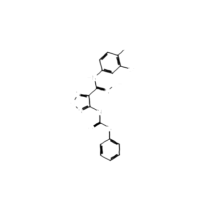 O=C(Nc1ccccc1)Nc1nonc1/C(=N/O)Nc1ccc(F)c(Br)c1